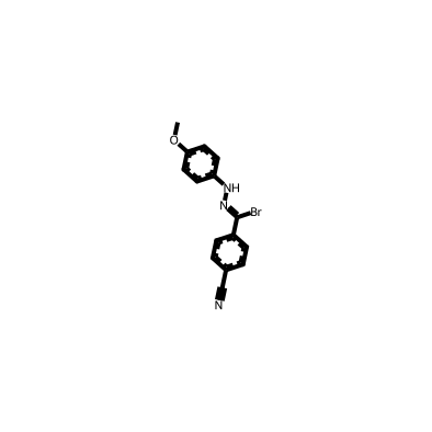 COc1ccc(NN=C(Br)c2ccc(C#N)cc2)cc1